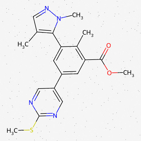 COC(=O)c1cc(-c2cnc(SC)nc2)cc(-c2c(C)cnn2C)c1C